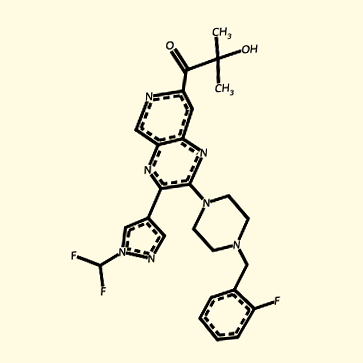 CC(C)(O)C(=O)c1cc2nc(N3CCN(Cc4ccccc4F)CC3)c(-c3cnn(C(F)F)c3)nc2cn1